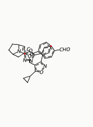 O=Cc1ccc(-c2nnc(N3C4CCC3CC(OCc3c(-c5ccccc5OC(F)(F)F)noc3C3CC3)C4)o2)cc1